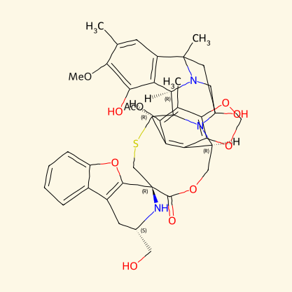 COc1c(C)cc2c(c1O)[C@@H]1C3[C@@H]4SC[C@]5(N[C@H](CO)Cc6c5oc5ccccc65)C(=O)OC[C@@H](c5c6c(c(C)c(OC(C)=O)c54)OCO6)N3C3(O)CN1C2(C)C3